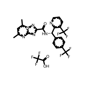 Cc1cc(C)n2nc(C(=O)N[C@@H](c3ccc(C(F)(F)F)cc3)c3ncccc3C(F)(F)F)nc2n1.O=C(O)C(F)(F)F